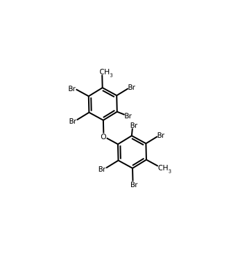 Cc1c(Br)c(Br)c(Oc2c(Br)c(Br)c(C)c(Br)c2Br)c(Br)c1Br